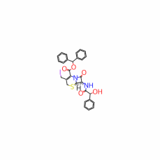 O=C(OC(c1ccccc1)c1ccccc1)C1=C(CI)CS[C@@H]2[C@H](NC(=O)C(O)c3ccccc3)C(=O)N12